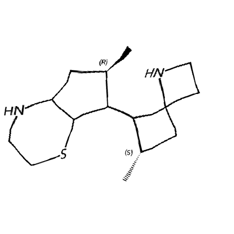 C[C@@H]1CC2NCCSC2C1C1[C@@H](C)CC12CCN2